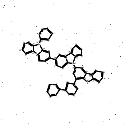 c1ccc(-c2cccc(-c3cc(-n4c5ccccc5c5cc(-c6ccc7c8ccccc8n(-c8ccccc8)c7c6)ccc54)cc4c3sc3ccccc34)c2)cc1